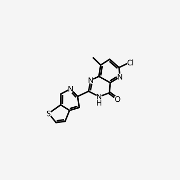 Cc1cc(Cl)nc2c(=O)[nH]c(-c3cc4ccsc4cn3)nc12